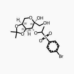 CC(O[C@@H]1[C@H]2OC(C)(C)O[C@H]2CO[C@@]1(O)CO)S(=O)(=O)c1ccc(Br)cc1